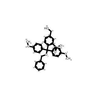 COc1ccc(C(OCc2ccccc2)(c2ccc(OC)cc2)c2ccc(CO)cc2[N+](=O)[O-])cc1